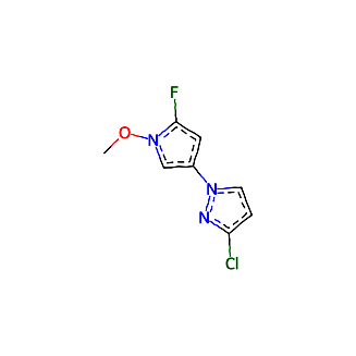 COn1cc(-n2ccc(Cl)n2)cc1F